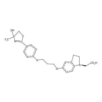 O=C(O)C[C@@H]1CCc2cc(OCCCOc3ccc(C4=NC(O)(C(F)(F)F)CS4)cc3)ccc21